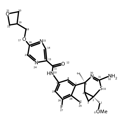 COC[C@]12CC1[C@@](C)(c1cc(NC(=O)c3cnc(OCC4COC4)cn3)cc(F)c1F)N=C(N)S2